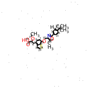 CCOC(Cc1ccc(OCc2nc(-c3ccc(C(C)(C)C)cc3)oc2C)c2sccc12)C(=O)O